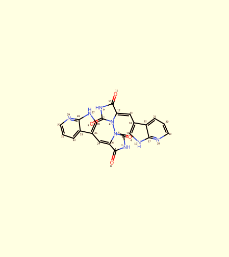 O=C1NC(=O)N(N2C(=O)NC(=O)/C2=C/c2c[nH]c3ncccc23)/C1=C\c1c[nH]c2ncccc12